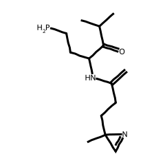 C=C(CCC1(C)C=N1)NC(CCP)C(=O)C(C)C